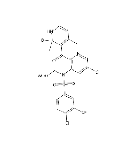 COCN(c1cc(Cl)cnc1C(=O)C1=C(C)C=CNC1(C)O)S(=O)(=O)c1ccc(Cl)c(C(F)(F)F)c1